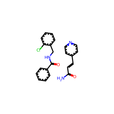 NC(=O)/C=C/c1ccncc1.O=C(NCc1ccccc1Cl)c1ccccc1